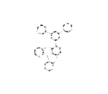 c1cncc(-c2cc(-c3cccnc3)cc(-c3ccc4c5c3Oc3ccccc3B5c3cccnc3O4)c2)c1